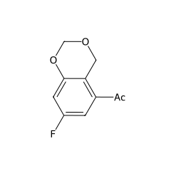 CC(=O)c1cc(F)cc2c1COCO2